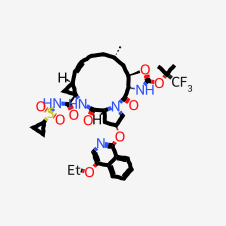 CCOc1cnc(O[C@@H]2C[C@H]3C(=O)N[C@]4(C(=O)NS(=O)(=O)C5CC5)C[C@H]4/C=C\CC[C@H](C)C[C@@H](C)[C@H](NC(=O)OC(C)(C)C(F)(F)F)C(=O)N3C2)c2ccccc12